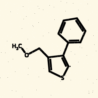 COCc1cs[c]c1-c1ccccc1